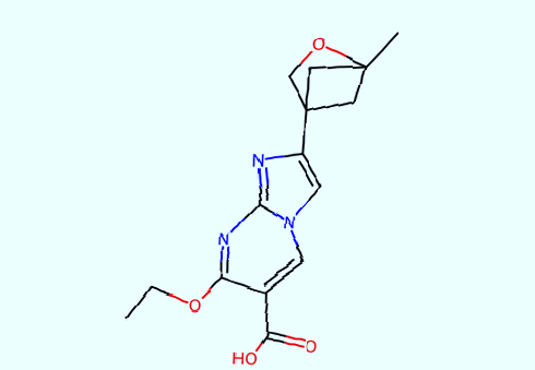 CCOc1nc2nc(C34COC(C)(C3)C4)cn2cc1C(=O)O